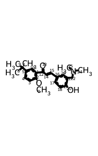 COc1ccc(C(C)(C)C)cc1C(=O)/C=C/c1ccc(O)c(CN(C)C)c1